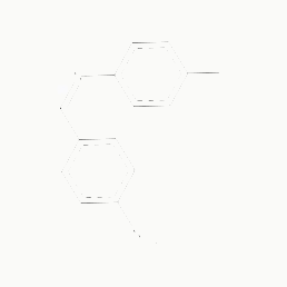 O=[N+]([O-])c1ccc(/C=N\c2ccc(F)cc2)cc1